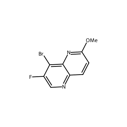 COc1ccc2ncc(F)c(Br)c2n1